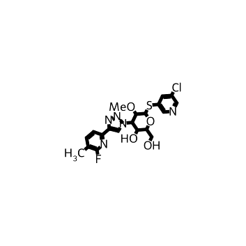 COC1C(Sc2cncc(Cl)c2)OC(CO)C(O)C1n1cc(-c2ccc(C)c(F)n2)nn1